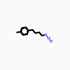 Cc1ccc(CCCCN=[N+]=[N-])cc1